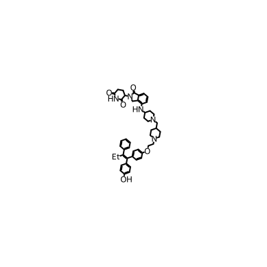 CCC(=C(c1ccc(O)cc1)c1ccc(OCCN2CCC(CN3CCC(Nc4cccc5c4CN(C4CCC(=O)NC4=O)C5=O)CC3)CC2)cc1)c1ccccc1